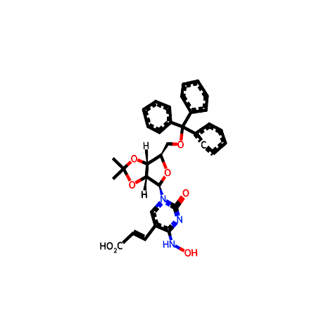 CC1(C)O[C@@H]2[C@H](O1)[C@@H](COC(c1ccccc1)(c1ccccc1)c1ccccc1)O[C@H]2n1cc(C=CC(=O)O)c(NO)nc1=O